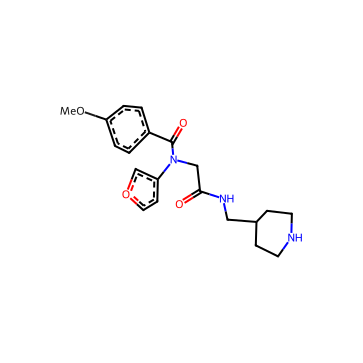 COc1ccc(C(=O)N(CC(=O)NCC2CCNCC2)c2ccoc2)cc1